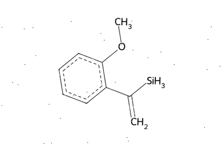 C=C([SiH3])c1ccccc1OC